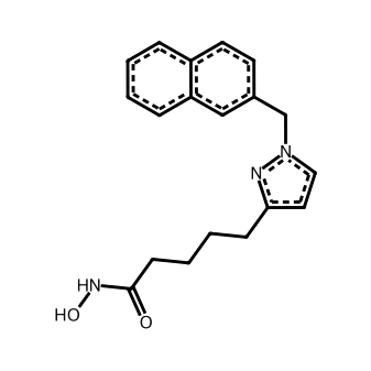 O=C(CCCCc1ccn(Cc2ccc3ccccc3c2)n1)NO